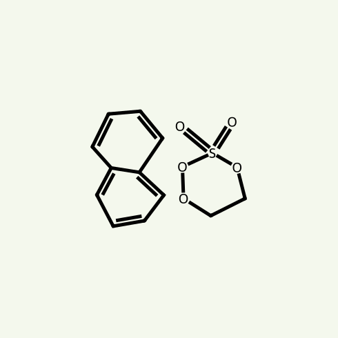 O=S1(=O)OCCOO1.c1ccc2ccccc2c1